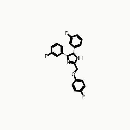 Fc1ccc(OCC2=N[C@H](c3cccc(F)c3)[C@H](c3cccc(F)c3)N2)cc1